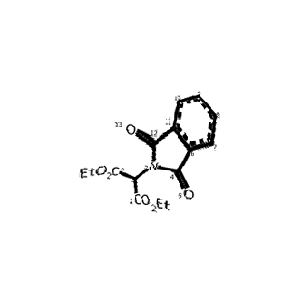 CCOC(=O)C(C(=O)OCC)N1C(=O)c2ccccc2C1=O